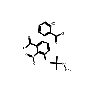 CC(C)(C)NN.Cl.O=C(Cl)c1cccc(Cl)c1[N+](=O)[O-].O=C(Cl)c1ccccc1